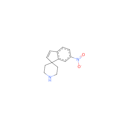 O=[N+]([O-])c1ccc2c(c1)C1(C=C2)CCNCC1